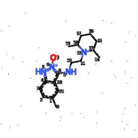 Cc1ccc2[nH][n+]([O-])c(NCCN3C(C)CCCC3C)c2c1